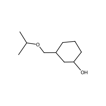 CC(C)OCC1CCCC(O)C1